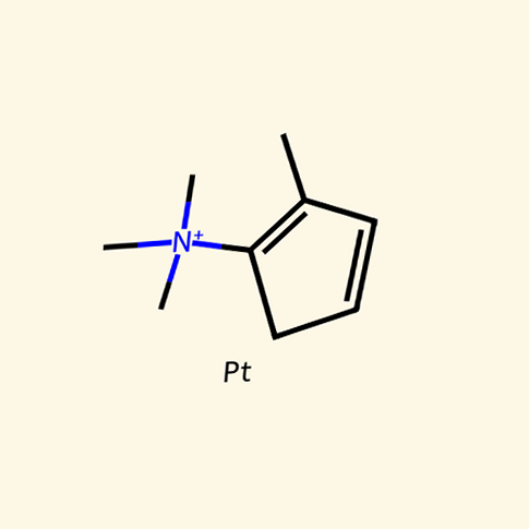 CC1=C([N+](C)(C)C)CC=C1.[Pt]